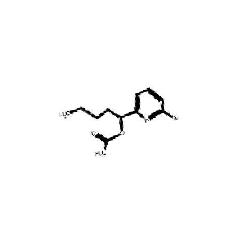 CCCCC(OC(C)=O)c1cccc(Br)n1